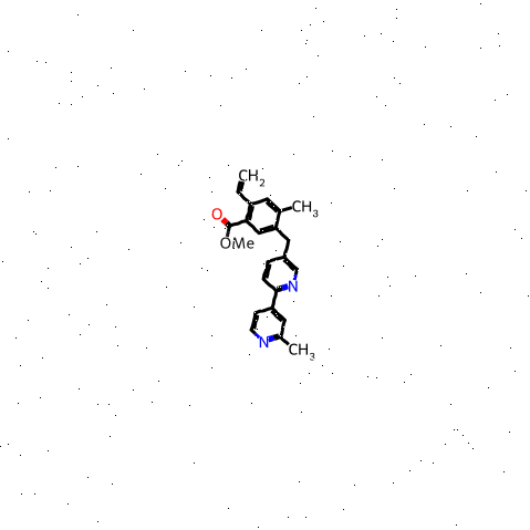 C=Cc1cc(C)c(Cc2ccc(-c3ccnc(C)c3)nc2)cc1C(=O)OC